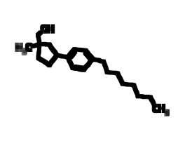 CCCCCCCCc1ccc(C2CCC(C)(CO)C2)cc1